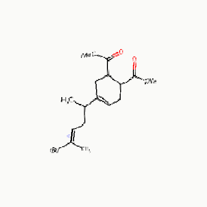 COC(=O)C1CC=C(C(C)C/C=C(\C)C(C)(C)C)CC1C(=O)OC